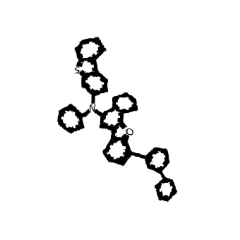 c1ccc(-c2cccc(-c3cccc4c3oc3c5ccccc5c(N(c5ccccc5)c5ccc6c(c5)sc5ccccc56)cc43)c2)cc1